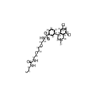 CCCNC(=O)NCCOCCOCCNS(=O)(=O)c1cccc(C2CN(C)Cc3c(Cl)cc(Cl)cc32)c1